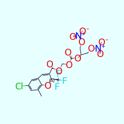 Cc1cc(Cl)cc2c1O[C@H](C(F)(F)F)C(C(=O)OCOC(=O)OC(CO[N+](=O)[O-])CO[N+](=O)[O-])=C2